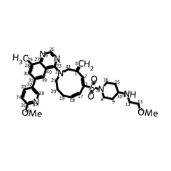 C=C1/C=C(S(=O)(=O)N2CCC(NCCOC)CC2)\C=C/CCCN(c2ncnc3c(C)cc(-c4ccc(OC)nc4)cc23)C1